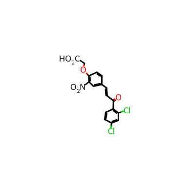 O=C(O)COc1ccc(C=CC(=O)c2ccc(Cl)cc2Cl)cc1[N+](=O)[O-]